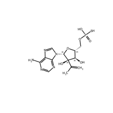 C=C(C)[C@@]1(O)[C@H](O)[C@@H](COP(=O)(O)S)O[C@H]1n1cnc2c(N)ncnc21